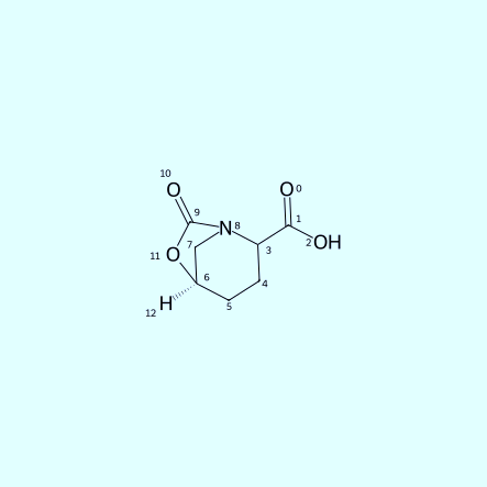 O=C(O)C1CC[C@@H]2CN1C(=O)O2